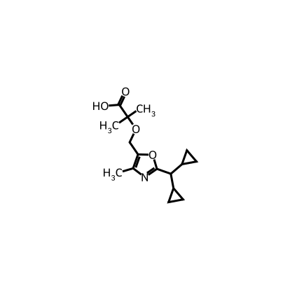 Cc1nc(C(C2CC2)C2CC2)oc1COC(C)(C)C(=O)O